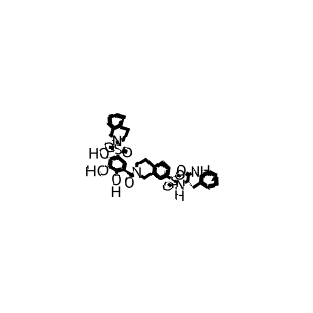 NC(=O)[C@H](Cc1ccccc1)NS(=O)(=O)c1ccc2c(c1)CN(C(=O)c1cc(S(=O)(=O)N3CCc4ccccc4C3)c(O)c(O)c1O)CC2